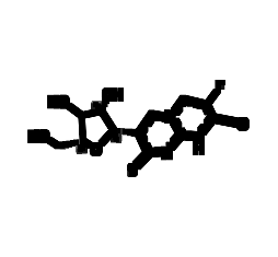 O=c1[nH]c2nc(=S)c([C@@H]3O[C@H](CO)C(O)[C@@H]3O)cn2cc1F